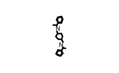 C/C(=N\CC1CCC(C/N=C(\C)c2ccccc2)CC1)c1ccccc1